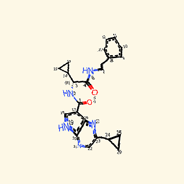 O=C(N[C@@H](C(=O)NCc1ccccc1)C1CC1)c1c[nH]c2ncc(C3CC3)nc12